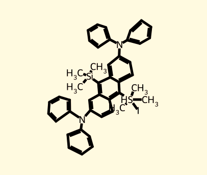 C[Si](C)(C)c1c2cc(N(c3ccccc3)c3ccccc3)ccc2c([SH](C)(C)(C)I)c2ccc(N(c3ccccc3)c3ccccc3)cc12